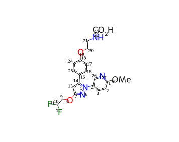 COc1ccc(-n2nc(OCC(F)F)cc2-c2ccc(OCCNC(=O)O)cc2)cn1